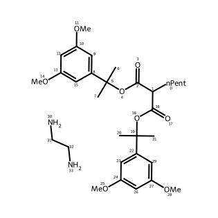 CCCCCC(C(=O)OC(C)(C)c1cc(OC)cc(OC)c1)C(=O)OC(C)(C)c1cc(OC)cc(OC)c1.NCCN